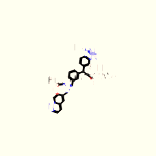 CC[C@@H]1CN(Cc2cc(C(c3ccc4c(nnn4C)c3C)C(C)(C)C(=O)OC)ccc2C)Cc2cc3cccnc3cc2O1